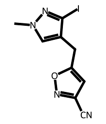 Cn1cc(Cc2cc(C#N)no2)c(I)n1